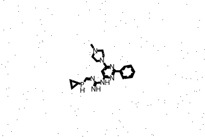 CN1CCN(c2cc(NC(=N)/N=C\PC3CC3)nc(-c3ccccc3)n2)CC1